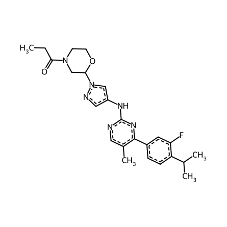 CCC(=O)N1CCOC(n2cc(Nc3ncc(C)c(-c4ccc(C(C)C)c(F)c4)n3)cn2)C1